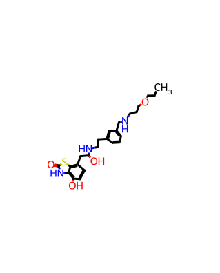 CCCOCCCNCc1cccc(CCNC(O)Cc2ccc(O)c3[nH]c(=O)sc23)c1